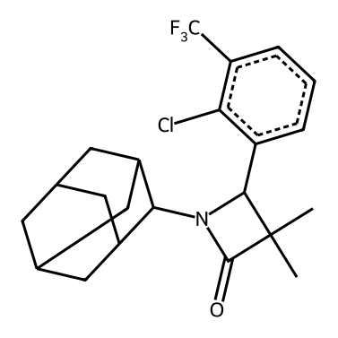 CC1(C)C(=O)N(C2C3CC4CC(C3)CC2C4)C1c1cccc(C(F)(F)F)c1Cl